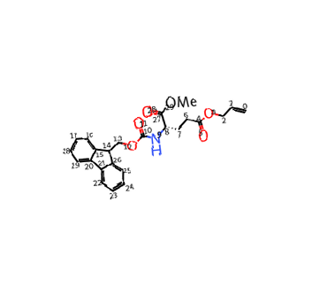 C=CCOC(=O)CC[C@H](NC(=O)OCC1c2ccccc2-c2ccccc21)C(=O)OC